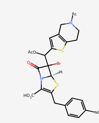 CC(=O)OC(c1cc2c(s1)CCN(C(C)=O)C2)C1(Br)C(=O)N2C(C(=O)O)=C(Cc3ccc([N+](=O)[O-])cc3)S[C@@H]21